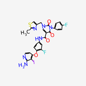 Cc1nc(Cn2cc(C(=O)Nc3ccc(Oc4ccnc(N)c4I)c(F)c3)c(=O)n(-c3ccc(F)cc3)c2=O)cs1